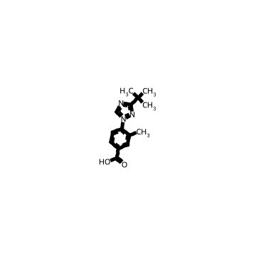 Cc1cc(C(=O)O)ccc1-n1cnc(C(C)(C)C)n1